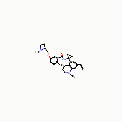 C=Cc1cc2c(c(C3(NC(=O)c4cc(OCC5CCN5C)ccc4C)CC3)c1)CCCN2C